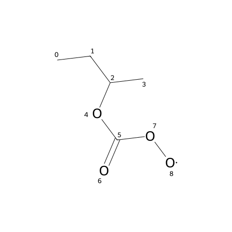 CCC(C)OC(=O)O[O]